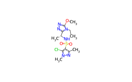 CCn1c(OC)nnc1[C@@H](C)NS(=O)(=O)c1c(C)nn(C)c1Cl